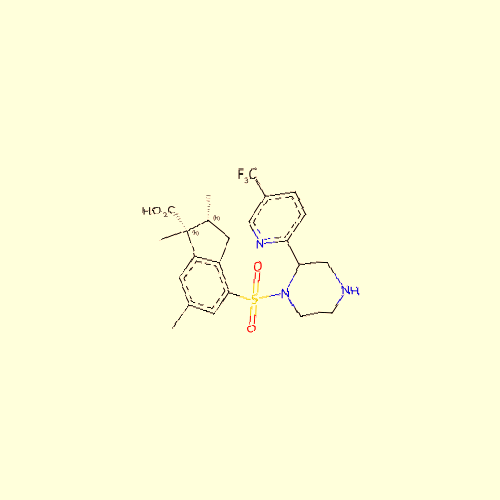 Cc1cc2c(c(S(=O)(=O)N3CCNCC3c3ccc(C(F)(F)F)cn3)c1)C[C@@H](C)[C@@]2(C)C(=O)O